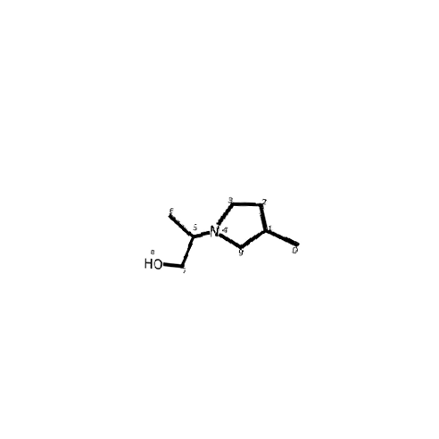 CC1CCN(C(C)CO)C1